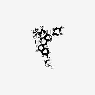 Cc1cnc(-n2nc3c(c2NC(=O)CS(C)(=O)=O)C(=O)N[C@@]2(CCc4cc(OCC(F)(F)F)ccc42)C3)cn1